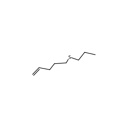 C=CCCCSCCC